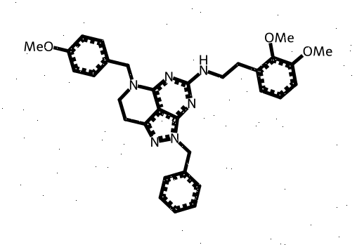 COc1ccc(CN2CCc3nn(Cc4ccccc4)c4nc(NCCc5cccc(OC)c5OC)nc2c34)cc1